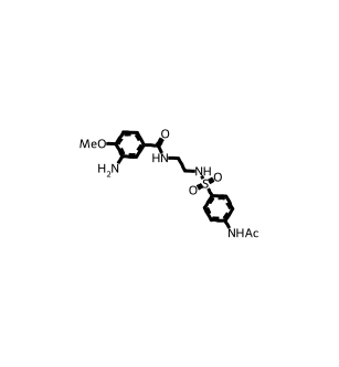 COc1ccc(C(=O)NCCNS(=O)(=O)c2ccc(NC(C)=O)cc2)cc1N